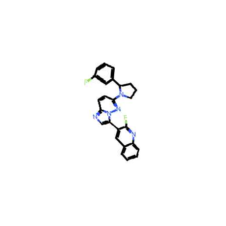 Fc1cccc(C2CCCN2c2ccc3ncc(-c4cc5ccccc5nc4F)n3n2)c1